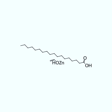 C=CO.CCCCCCCCCCCCCCCCCC(=O)O.[Zn]